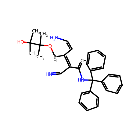 C=C(NC(c1ccccc1)(c1ccccc1)c1ccccc1)/C(C=N)=C(BOC(C)(C)C(C)(C)O)\C=C/N